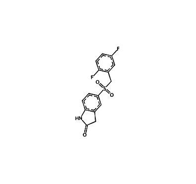 O=C1Cc2cc(S(=O)(=O)Cc3cc(F)ccc3F)ccc2N1